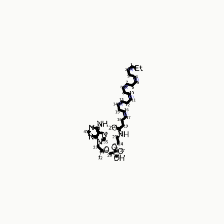 CC/C=C\C/C=C\C/C=C\C/C=C\C/C=C\C/C=C\CCC(=O)NCCOP(=O)(O)CO[C@H](C)Cn1cnc2c(N)ncnc21